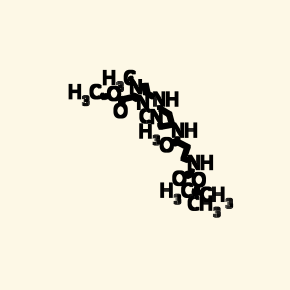 CCOC(=O)c1nc(NC2CC(NC(=O)CCNC(=O)OC(C)(C)C)CN2C)cn1C